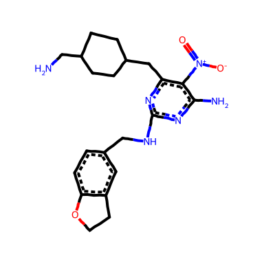 NCC1CCC(Cc2nc(NCc3ccc4c(c3)CCO4)nc(N)c2[N+](=O)[O-])CC1